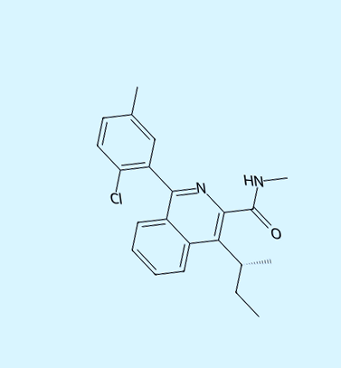 CC[C@@H](C)c1c(C(=O)NC)nc(-c2cc(C)ccc2Cl)c2ccccc12